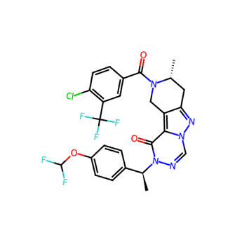 C[C@@H]1Cc2nn3cnn([C@@H](C)c4ccc(OC(F)F)cc4)c(=O)c3c2CN1C(=O)c1ccc(Cl)c(C(F)(F)F)c1